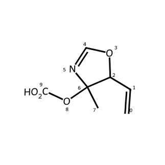 C=CC1OC=NC1(C)OC(=O)O